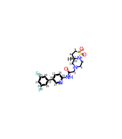 O=C(CN1CCN2[C@@H](CCS2(=O)=O)C1)Nc1ccc(-c2cc(F)cc(F)c2)cn1